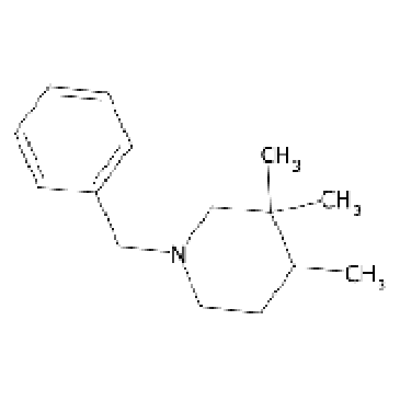 CC1CCN(Cc2ccccc2)CC1(C)C